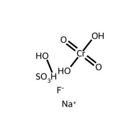 O=S(=O)(O)O.[F-].[Na+].[O]=[Cr](=[O])([OH])[OH]